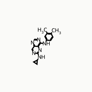 Cc1ccc(Nc2ncnc3cnc(NC4CC4)nc23)cc1C